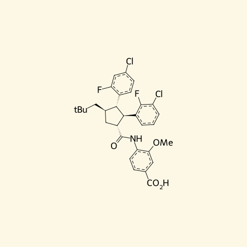 COc1cc(C(=O)O)ccc1NC(=O)[C@@H]1C[C@@H](CC(C)(C)C)[C@H](c2ccc(Cl)cc2F)[C@H]1c1cccc(Cl)c1F